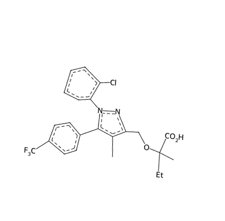 CCC(C)(OCc1nn(-c2ccccc2Cl)c(-c2ccc(C(F)(F)F)cc2)c1C)C(=O)O